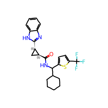 O=C(NC(c1ccc(C(F)(F)F)s1)C1CCCCC1)[C@H]1C[C@@H]1c1nc2ccccc2[nH]1